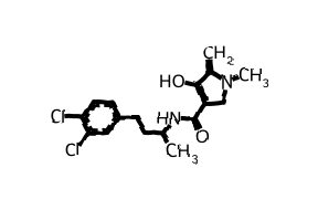 C=C1C(O)=C(C(=O)NC(C)CCc2ccc(Cl)c(Cl)c2)CN1C